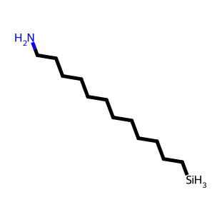 NCCCCCCCCCCCC[SiH3]